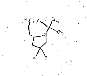 CCC1CC(F)(F)CN1C(C)(C)C